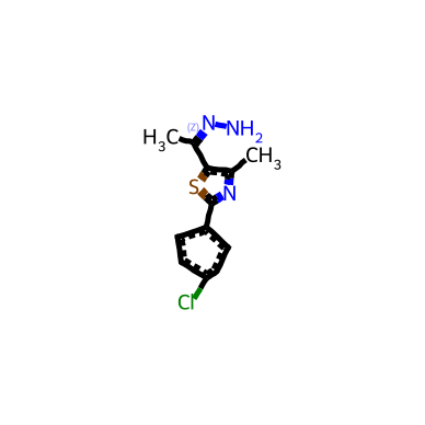 C/C(=N/N)c1sc(-c2ccc(Cl)cc2)nc1C